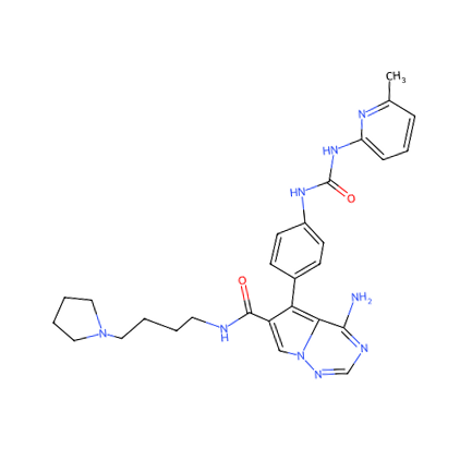 Cc1cccc(NC(=O)Nc2ccc(-c3c(C(=O)NCCCCN4CCCC4)cn4ncnc(N)c34)cc2)n1